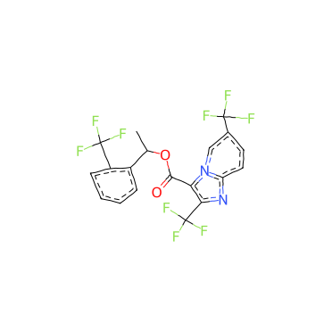 CC(OC(=O)c1c(C(F)(F)F)nc2ccc(C(F)(F)F)cn12)c1ccccc1C(F)(F)F